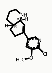 COc1cc(C2=C[C@H]3NCCC[C@H]3CC2)cnc1Cl